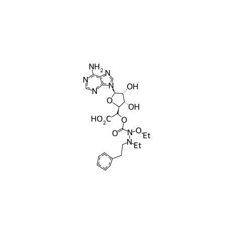 CCON(C(=O)OC(C(=O)O)[C@H]1O[C@@H](n2cnc3c(N)ncnc32)[C@H](O)[C@@H]1O)N(CC)CCc1ccccc1